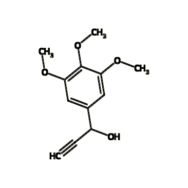 C#CC(O)c1cc(OC)c(OC)c(OC)c1